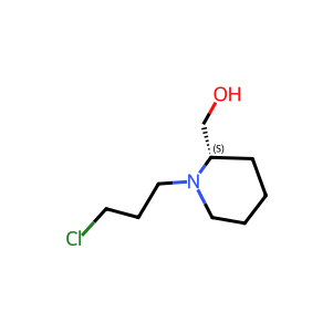 OC[C@@H]1CCCCN1CCCCl